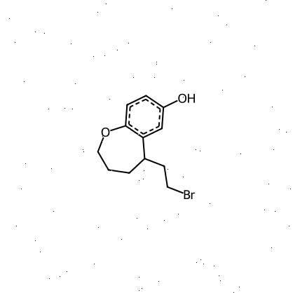 Oc1ccc2c(c1)C(CCBr)CCCO2